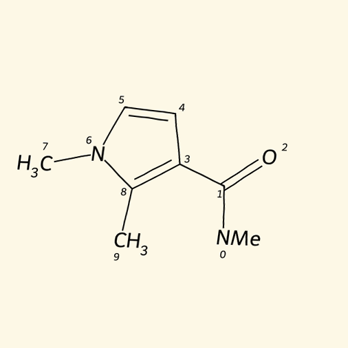 CNC(=O)c1ccn(C)c1C